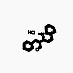 C[n+]1c(C(C=O)=Cc2ccccc2)ccc2ccccc21.Cl